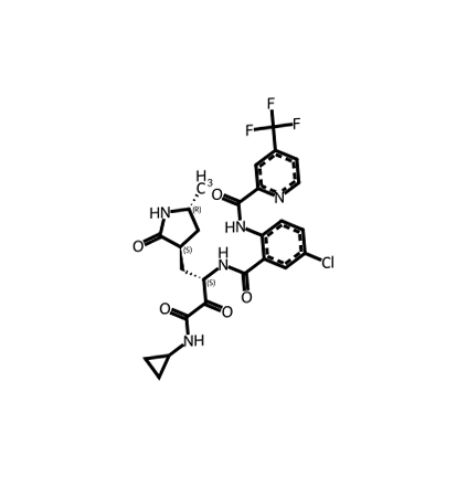 C[C@@H]1C[C@@H](C[C@H](NC(=O)c2cc(Cl)ccc2NC(=O)c2cc(C(F)(F)F)ccn2)C(=O)C(=O)NC2CC2)C(=O)N1